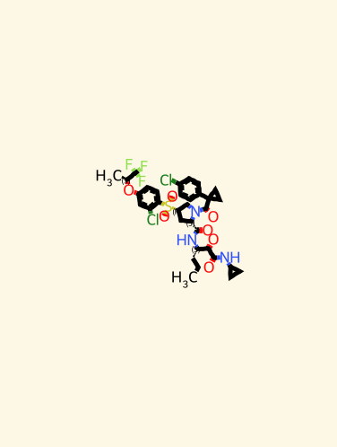 CCC[C@H](NC(=O)[C@@H]1C[C@@H](S(=O)(=O)c2ccc(O[C@@H](C)C(F)(F)F)cc2Cl)CN1C(=O)C1(c2ccc(Cl)cc2)CC1)C(=O)C(=O)NC1CC1